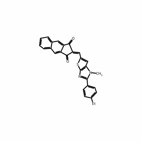 CCc1ccc(-c2nc3sc(C=C4C(=O)c5cc6ccccc6cc5C4=O)cc3n2C)cc1